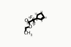 CCOC(=O)C(F)(F)C1C=CCC1